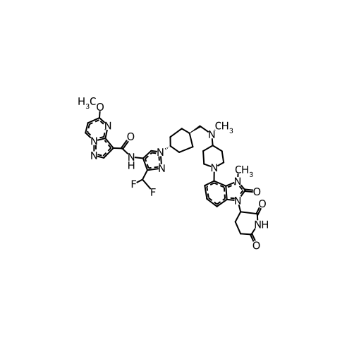 COc1ccn2ncc(C(=O)Nc3cn([C@H]4CC[C@H](CN(C)C5CCN(c6cccc7c6n(C)c(=O)n7C6CCC(=O)NC6=O)CC5)CC4)nc3C(F)F)c2n1